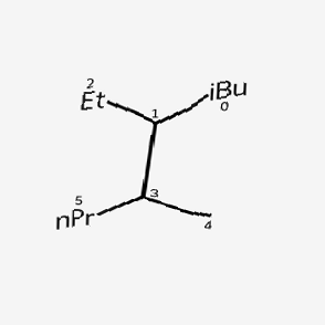 [CH2]CC(C)C(CC)C(C)CCC